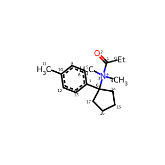 CCC(=O)[N+](C)(C)C1(c2ccc(C)cc2)CCCC1